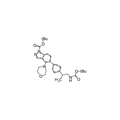 CC(CNC(=O)OC(C)(C)C)c1ccc(-c2ccc3c(cnn3C(=O)OC(C)(C)C)c2N2CCOCC2)cc1